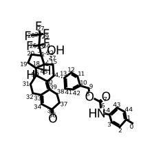 Cc1ccc(NC(=O)OCc2ccc([C@H]3C[C@@]4(C)[C@@H](CC[C@@]4(O)C(F)(F)C(F)(F)F)[C@@H]4CCC5=CC(=O)CCC5=C43)cc2)cc1